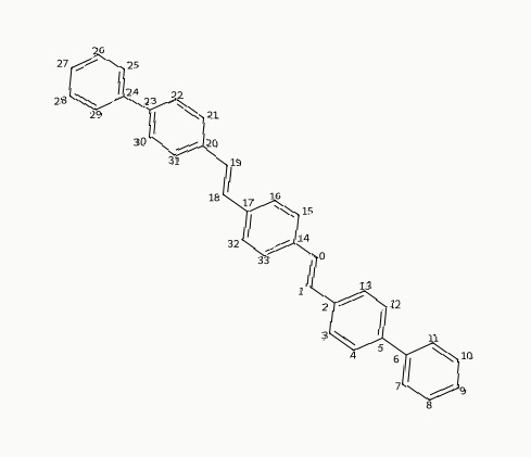 C(=Cc1ccc(-c2ccccc2)cc1)c1ccc(C=Cc2ccc(-c3ccccc3)cc2)cc1